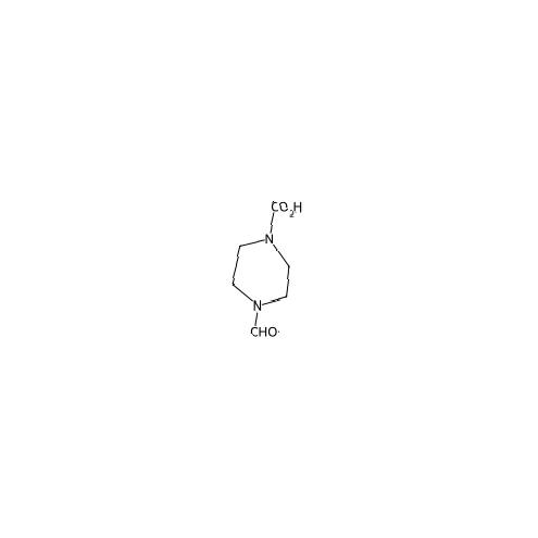 O=[C]N1CCN(C(=O)O)CC1